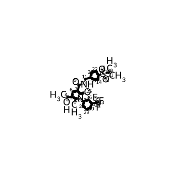 Cc1c(C(C)O)cc(C(=O)NCc2ccc(S(=O)(=O)C(C)C)cc2)c(=O)n1-c1cccc(C(F)(F)F)c1